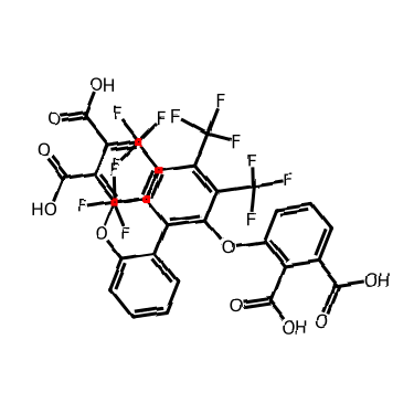 O=C(O)c1cccc(Oc2ccccc2-c2c(Oc3cccc(C(=O)O)c3C(=O)O)c(C(F)(F)F)c(C(F)(F)F)c(C(F)(F)F)c2C(F)(F)F)c1C(=O)O